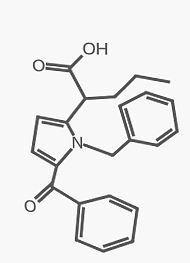 CCCC(C(=O)O)c1ccc(C(=O)c2ccccc2)n1Cc1ccccc1